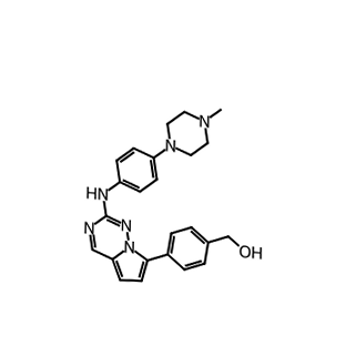 CN1CCN(c2ccc(Nc3ncc4ccc(-c5ccc(CO)cc5)n4n3)cc2)CC1